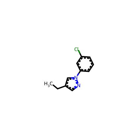 CCc1cnn(-c2cccc(Cl)c2)c1